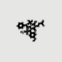 COc1ccc(C(N(CCCc2ccccc2)C(=O)N(CCC(C)C)C(=O)OC(C)(C)C)S(N)(=O)=O)cc1